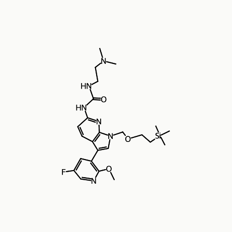 COc1ncc(F)cc1-c1cn(COCC[Si](C)(C)C)c2nc(NC(=O)NCCN(C)C)ccc12